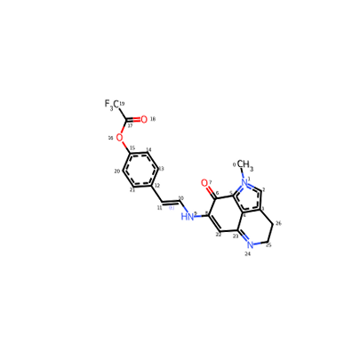 Cn1cc2c3c1C(=O)C(N/C=C/c1ccc(OC(=O)C(F)(F)F)cc1)=CC3=NCC2